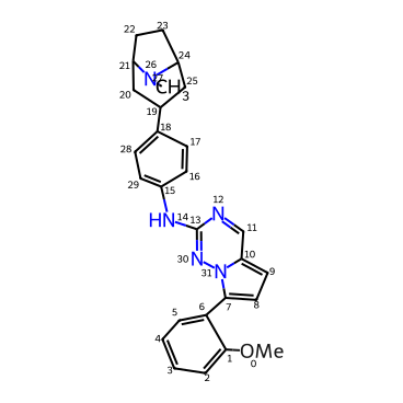 COc1ccccc1-c1ccc2cnc(Nc3ccc(C4CC5CCC(C4)N5C)cc3)nn12